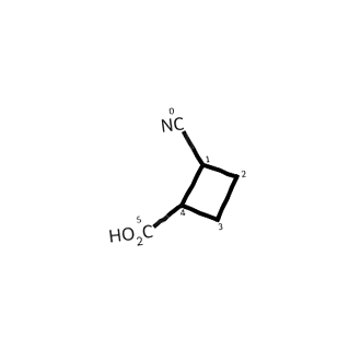 N#CC1CCC1C(=O)O